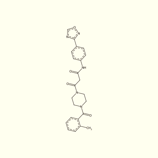 Cc1ccccc1C(=O)N1CCN(C(=O)CC(=O)Nc2ccc(-c3ncon3)cc2)CC1